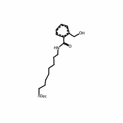 CCCCCCCCCCCCCCCCCCNC(=O)c1ccccc1CO